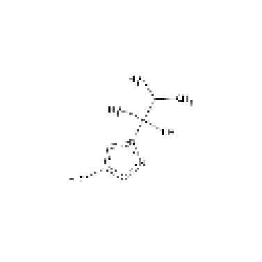 Cc1cnn(C(C)(C)C(C)C)c1